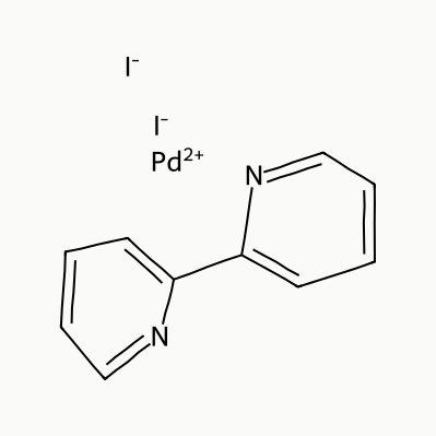 [I-].[I-].[Pd+2].c1ccc(-c2ccccn2)nc1